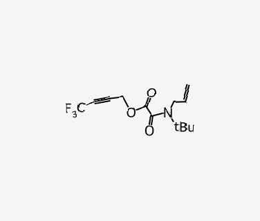 C=CCN(C(=O)C(=O)OCC#CC(F)(F)F)C(C)(C)C